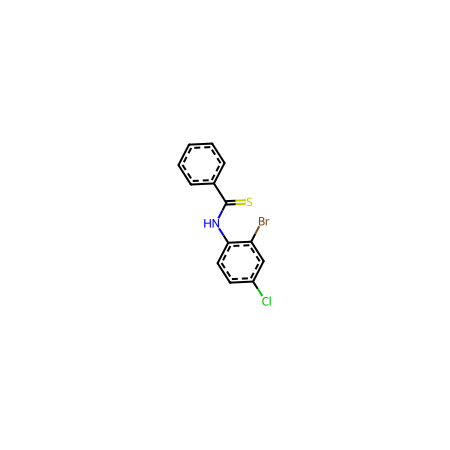 S=C(Nc1ccc(Cl)cc1Br)c1ccccc1